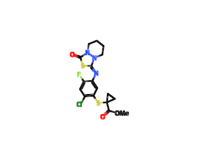 COC(=O)C1(Sc2cc(N=c3sc(=O)n4n3CCCC4)c(F)cc2Cl)CC1